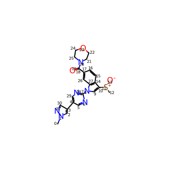 Cn1cc(-c2cnc(-n3cc([S+](C)[O-])c4ccc(C(=O)N5CCOCC5)cc43)nc2)cn1